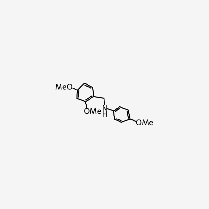 COc1ccc(NCc2ccc(OC)cc2OC)cc1